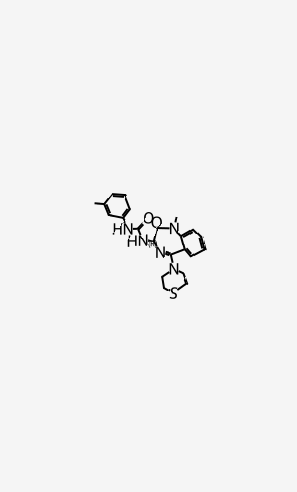 Cc1cccc(NC(=O)N[C@@H]2N=C(N3CCSCC3)c3ccccc3N(C)C2=O)c1